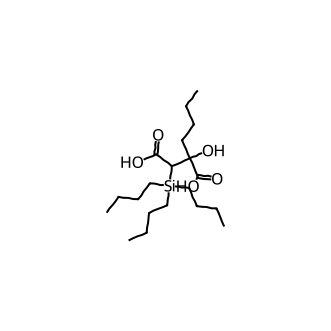 CCCCC(O)(C(=O)O)C(C(=O)O)[Si](CCCC)(CCCC)CCCC